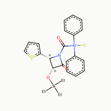 CC[Si](CC)(CC)O[C@H]1C(=O)N(C(=O)[N+]([S-])(c2ccccc2)c2ccccc2)[C@H]1c1cccs1